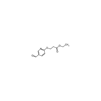 CCOC(=O)CCSc1ccc(C=O)cn1